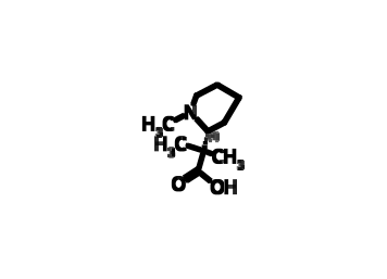 CN1CCCC[C@@H]1C(C)(C)C(=O)O